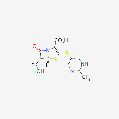 CC(O)C1C(=O)N2C(C(=O)O)=C(SC3CN=C(C(F)(F)F)NC3)S[C@H]12